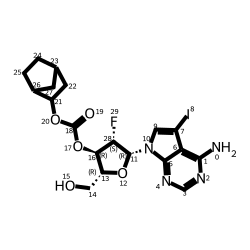 Nc1ncnc2c1c(I)cn2[C@@H]1O[C@H](CO)[C@@H](OC(=O)OC2CC3CCC2C3)[C@@H]1F